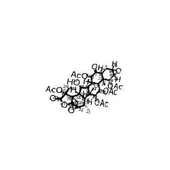 CC(=O)O[C@H]1C(=O)[C@H]2C[C@@H]3O[C@@H]3[C@H](OC(C)=O)[C@]2(C)C2[C@@H]1[C@@H]1[C@@H](O)[C@@H]3[C@H]([C@H](C)[C@@H]4O[C@@]45OC(=O)[C@@](C)(OC(C)=O)[C@]35C)[C@@]1(C)[C@@H](OC(C)=O)[C@H]2OC(C)=O